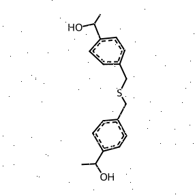 CC(O)c1ccc(CSCc2ccc(C(C)O)cc2)cc1